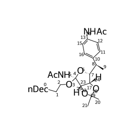 CCCCCCCCCCCCO[C@@]1(NC(C)=O)O[C@H]([C@H](C)c2ccc(NC(C)=O)cc2)[C@@H]2OC(C)(C)O[C@@H]21